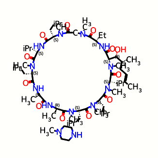 CC=CC[C@@H](C)[C@@H](O)[C@H]1C(=O)N[C@@H](CC)C(=O)N(C)CC(=O)N(C)[C@@H](CC(C)C)C(=O)N[C@@H](C(C)C)C(=O)N(C)[C@@H](CC(C)C)C(=O)N[C@@H](C)C(=O)N[C@H](C)C(=O)N(C)[C@@H](CC(C)C)C(=O)N(C)[C@@H](CC(C)C)C(=O)N(C)[C@@H](C(C)C)C(=O)N1C.CN1CCNCC1